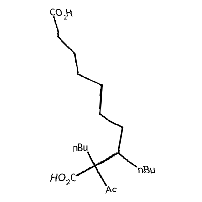 CCCCC(CCCCCCC(=O)O)C(CCCC)(C(C)=O)C(=O)O